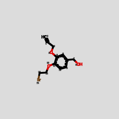 C#CCOc1cc(CO)ccc1OCCBr